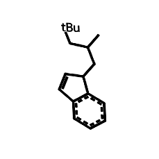 CC(CC1C=Cc2ccccc21)CC(C)(C)C